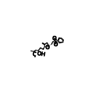 C=C=C(C)C[C@@H](O)CC[C@@H]1O[C@@H](CCS(=O)(=O)c2ccccc2)CC1=C